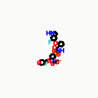 O=C(NS(=O)(=O)c1ccc(OCC2(F)CCOCC2)c([N+](=O)[O-])c1)c1ccccc1Oc1cc2cc[nH]c2cc1F